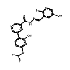 O=C(N/N=C/c1cc(O)cnc1F)c1cncc(-c2ccc(OC(F)F)nc2O)n1